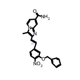 Cc1c(/C=C/c2ccc([N+](=O)[O-])c(OCc3ccccc3)c2)nc2cc(C(N)=O)ccn12